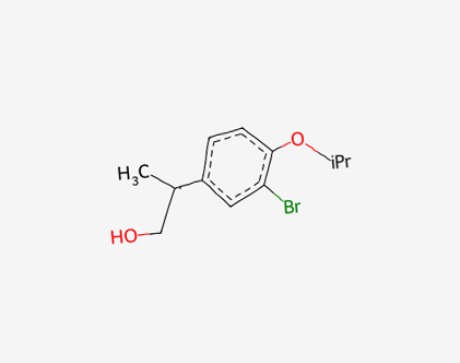 C[C](CO)c1ccc(OC(C)C)c(Br)c1